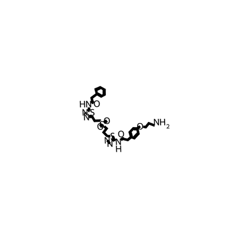 NCCCOc1ccc(CC(=O)Nc2nnc(CCS(=O)(=O)CCc3nnc(NC(=O)Cc4ccccc4)s3)s2)cc1